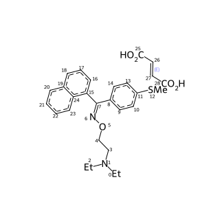 CCN(CC)CCON=C(c1ccc(SC)cc1)c1cccc2ccccc12.O=C(O)/C=C/C(=O)O